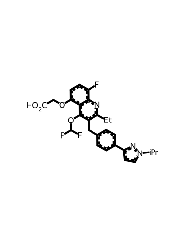 CCc1nc2c(F)ccc(OCC(=O)O)c2c(OC(F)F)c1Cc1ccc(-c2ccn(C(C)C)n2)cc1